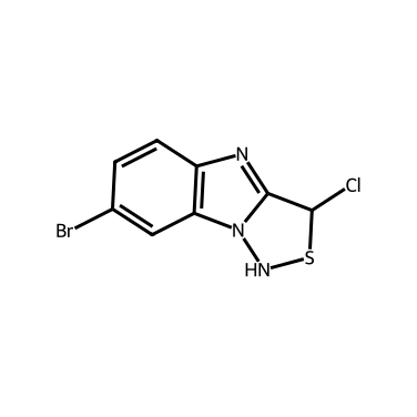 ClC1SNn2c1nc1ccc(Br)cc12